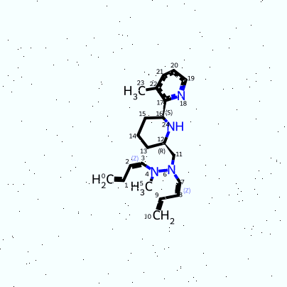 C=C/C=C\N(C)N(/C=C\C=C)C[C@H]1CCC[C@@H](c2ncccc2C)N1